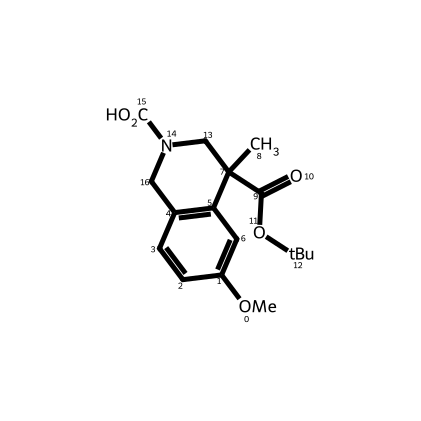 COc1ccc2c(c1)C(C)(C(=O)OC(C)(C)C)CN(C(=O)O)C2